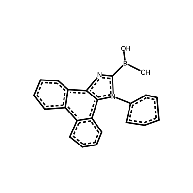 OB(O)c1nc2c3ccccc3c3ccccc3c2n1-c1ccccc1